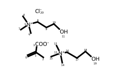 C=C(C)C(=O)[O-].C[N+](C)(C)CCCO.C[N+](C)(C)CCCO.[Cl-]